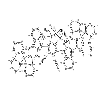 CC1(C)c2c(-n3c4ccccc4c4cc5c(cc43)-c3ccccc3C53c4ccccc4-c4ccccc43)c(C#N)c(C#N)c(-n3c4ccccc4c4cc5c(cc43)-c3ccccc3C53c4ccccc4-c4ccccc43)c2C(C)(C)C1(C)C